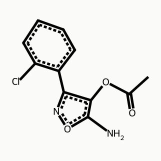 CC(=O)Oc1c(-c2ccccc2Cl)noc1N